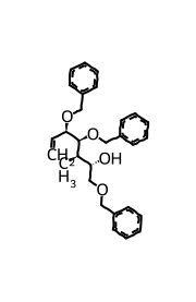 C=C[C@@H](OCc1ccccc1)[C@@H](OCc1ccccc1)[C@H](C)[C@H](O)COCc1ccccc1